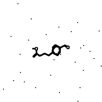 C=C(CCCc1c#cc(C=O)cc1)OC